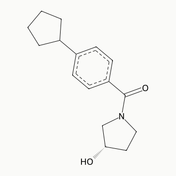 O=C(c1ccc(C2CCCC2)cc1)N1CC[C@H](O)C1